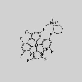 C[NH+](C)C1CCCCC1.Fc1cc(F)c(F)c([B-](c2cc(F)cc(F)c2F)(c2cc(F)cc(F)c2F)c2cc(F)cc(F)c2F)c1